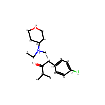 CCN(C[C@@H](C(=O)C(C)C)c1ccc(Cl)cc1)C1CCOCC1